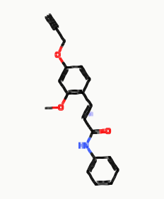 C#CCOc1ccc(/C=C/C(=O)Nc2ccccc2)c(OC)c1